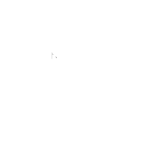 CN(C)c1ccccc1.Cc1cccc2ccccc12